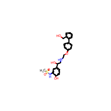 CS(=O)(=O)Nc1cc(C(O)CNCCOc2ccc(-c3ccccc3CO)cc2)ccc1O